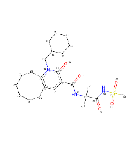 CC(C)(NC(=O)c1cc2c(n(CC3CCCCC3)c1=O)CCCCCC2)C(=O)NS(C)(=O)=O